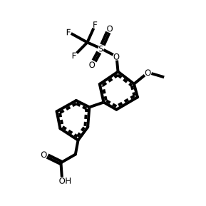 COc1ccc(-c2cccc(CC(=O)O)c2)cc1OS(=O)(=O)C(F)(F)F